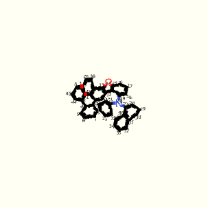 c1ccc(-c2ccccc2-c2cc3c(oc4cccc(N(c5ccccc5)c5cccc6ccccc56)c43)c3ccccc23)cc1